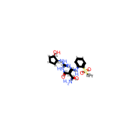 CC(C)S(=O)(=O)c1ccccc1Nc1nc(N[C@H]2CCC[C@H]2O)[nH]c(=O)c1C(N)=O